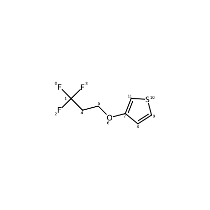 FC(F)(F)CCOc1ccsc1